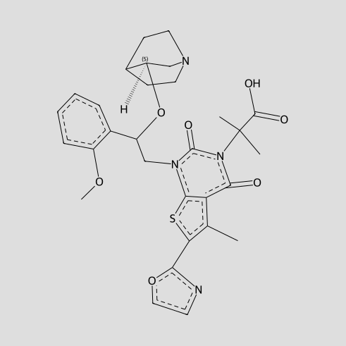 COc1ccccc1C(Cn1c(=O)n(C(C)(C)C(=O)O)c(=O)c2c(C)c(-c3ncco3)sc21)O[C@@H]1CN2CCC1CC2